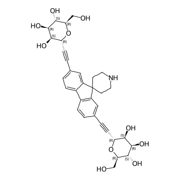 OC[C@H]1O[C@H](C#Cc2ccc3c(c2)C2(CCNCC2)c2cc(C#C[C@H]4O[C@H](CO)[C@@H](O)[C@H](O)[C@@H]4O)ccc2-3)[C@@H](O)[C@@H](O)[C@@H]1O